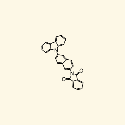 O=C1c2ccccc2C(=O)N1c1ccc2cc(-n3c4ccccc4c4ccccc43)ccc2c1